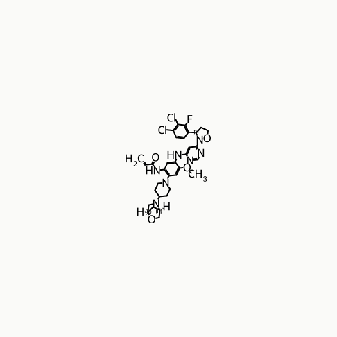 C=CC(=O)Nc1cc(Nc2cc(N3OCC[C@@H]3c3ccc(Cl)c(Cl)c3F)ncn2)c(OC)cc1N1CCC(N2C[C@H]3C[C@@H]2CO3)CC1